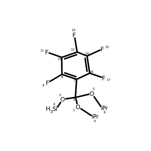 CC(C)OC(O[SiH3])(OC(C)C)c1c(F)c(F)c(F)c(F)c1F